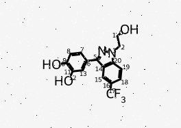 OCCn1nc(-c2ccc(O)c(O)c2)c2cc(C(F)(F)F)ccc21